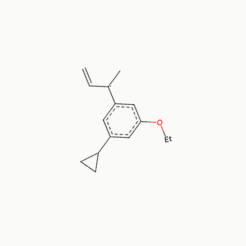 C=C[C](C)c1cc(OCC)cc(C2CC2)c1